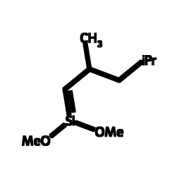 CO[Si](=CC(C)CC(C)C)OC